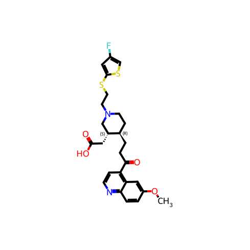 COc1ccc2nccc(C(=O)CC[C@@H]3CCN(CCSc4cc(F)cs4)C[C@H]3CC(=O)O)c2c1